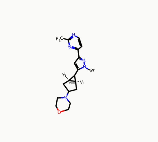 CC(C)n1nc(-c2ccnc(C(F)(F)F)n2)cc1C1[C@H]2CC(N3CCOCC3)C[C@@H]12